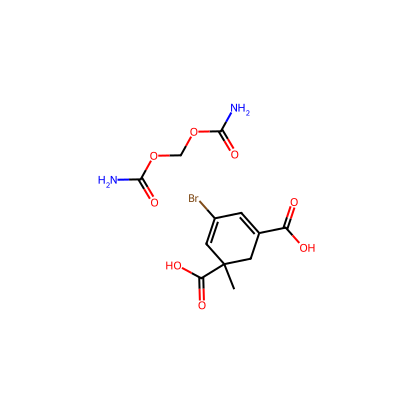 CC1(C(=O)O)C=C(Br)C=C(C(=O)O)C1.NC(=O)OCOC(N)=O